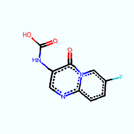 O=C(O)Nc1cnc2ccc(F)cn2c1=O